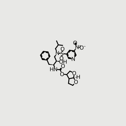 CC(C)CN(C[C@@H](O)[C@H](Cc1ccccc1)NC(=O)OC1CO[C@H]2OCCC12)S(=O)(=O)c1cncc([N+](=O)[O-])c1